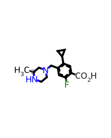 C[C@H]1CN(Cc2cc(F)c(C(=O)O)cc2C2CC2)CCN1